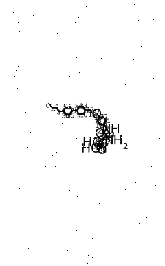 CCCCc1ccc(-c2ccc(CCOc3ccc(NC(=O)[C@@](C)(N)COP(=O)(O)O)cc3)cc2)cc1